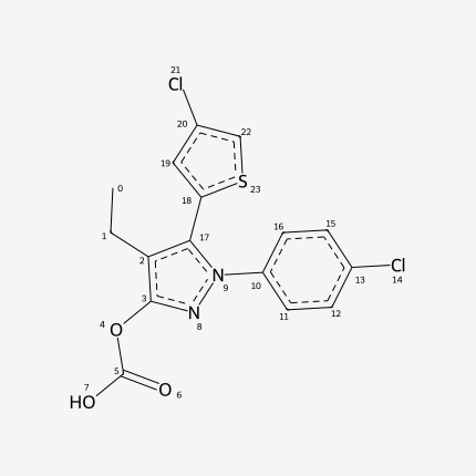 CCc1c(OC(=O)O)nn(-c2ccc(Cl)cc2)c1-c1cc(Cl)cs1